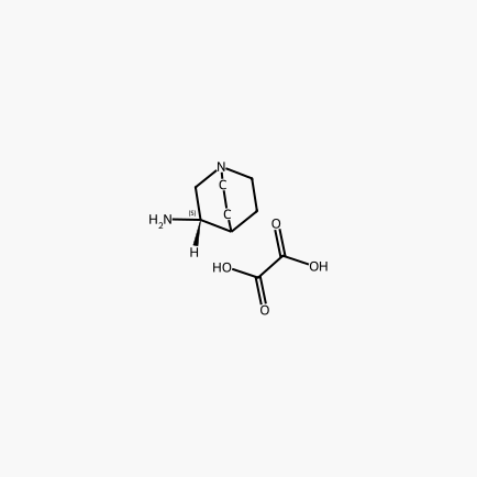 N[C@@H]1CN2CCC1CC2.O=C(O)C(=O)O